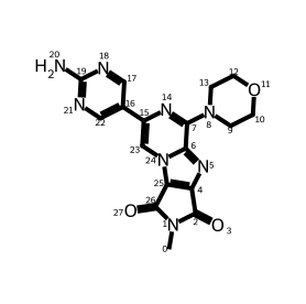 CN1C(=O)c2nc3c(N4CCOCC4)nc(-c4cnc(N)nc4)cn3c2C1=O